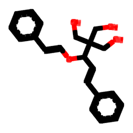 OCC(CO)(CO)C(C=Cc1ccccc1)OC=Cc1ccccc1